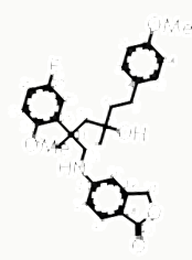 COc1ccc(CCC(C)(O)CC(C)(CNc2ccc3c(c2)COC3=O)c2cc(F)ccc2OC)cc1